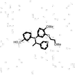 COCCOc1cc(N(c2cccc(C(=O)O)c2)C(C)c2cccnc2)ccc1OC